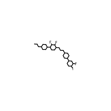 CCCC1CCC(C2CCC(CCCC3CCC(C4CCC(I)C(F)C4)CC3)C(F)C2F)CC1